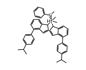 CC(C)c1ccc(-c2cccc3c2C=C[CH]3[Hf]([CH3])([CH3])([CH]2C=Cc3c(-c4ccc(C(C)C)cc4)cccc32)=[Si](C)c2ccccc2)cc1